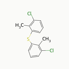 Cc1c(Cl)cccc1Sc1cccc(Cl)c1C